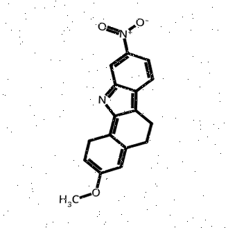 COC1=CCC2=C3N=c4cc([N+](=O)[O-])ccc4=C3CCC2=C1